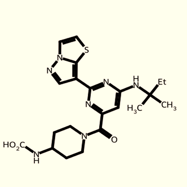 CCC(C)(C)Nc1cc(C(=O)N2CCC(NC(=O)O)CC2)nc(-c2cnn3ccsc23)n1